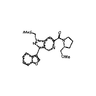 COCC1CCCN1C(=O)c1cc2c(cn1)c(-c1coc3ccccc13)nn2CSC